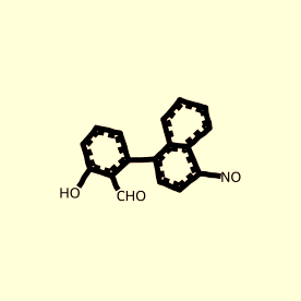 O=Cc1c(O)cccc1-c1ccc(N=O)c2ccccc12